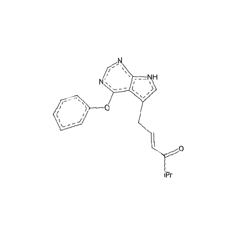 CC(C)C(=O)C=CCc1c[nH]c2ncnc(Oc3ccccc3)c12